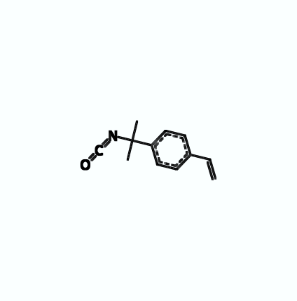 C=Cc1ccc(C(C)(C)N=C=O)cc1